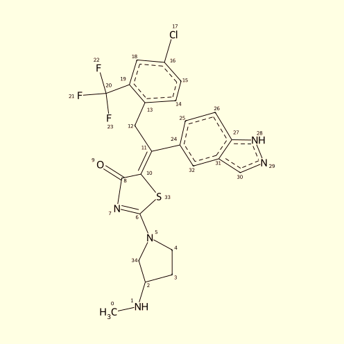 CNC1CCN(C2=NC(=O)C(=C(Cc3ccc(Cl)cc3C(F)(F)F)c3ccc4[nH]ncc4c3)S2)C1